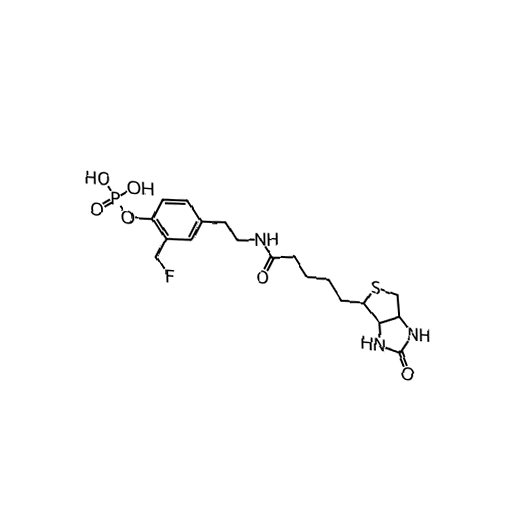 O=C(CCCCC1SCC2NC(=O)NC21)NCCc1ccc(OP(=O)(O)O)c(CF)c1